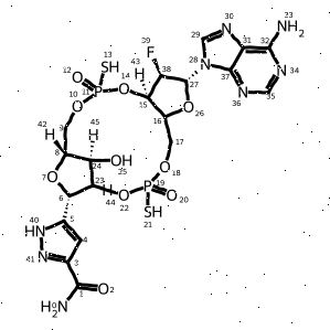 NC(=O)c1cc([C@@H]2O[C@@H]3COP(=O)(S)O[C@@H]4C(COP(=O)(S)O[C@@H]2[C@@H]3O)O[C@@H](n2cnc3c(N)ncnc32)[C@@H]4F)[nH]n1